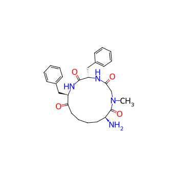 CN1CC(=O)N[C@@H](Cc2ccccc2)C(=O)N[C@H](Cc2ccccc2)C(=O)CCCC[C@H](N)C1=O